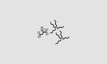 CCCC[P+](CCCC)(CCCC)CCCC.CCCC[P+](CCCC)(CCCC)CCCC.N[C@@H](CC(=O)[O-])C(=O)[O-]